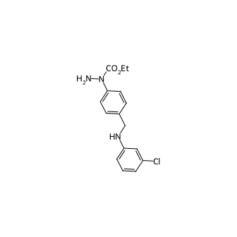 CCOC(=O)N(N)c1ccc(CNc2cccc(Cl)c2)cc1